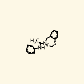 C=C(Nc1ccccc1)N1CCSc2ccccc2C1